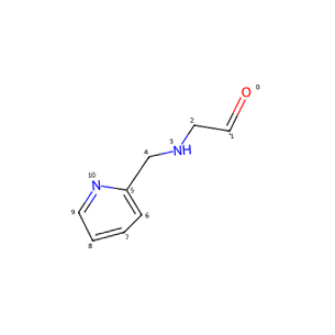 O=[C]CNCc1ccccn1